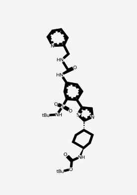 CC(C)(C)NS(=O)(=O)c1cc(NC(=O)NCc2ccccn2)ccc1-c1cnc([C@H]2CC[C@H](NC(=O)OC(C)(C)C)CC2)s1